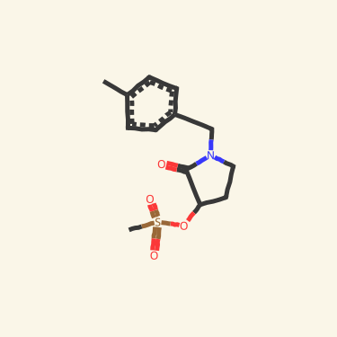 Cc1ccc(CN2CCC(OS(C)(=O)=O)C2=O)cc1